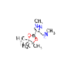 C/N=C\c1nn(C)cc1B1OC(C)(C)C(C)(C)O1